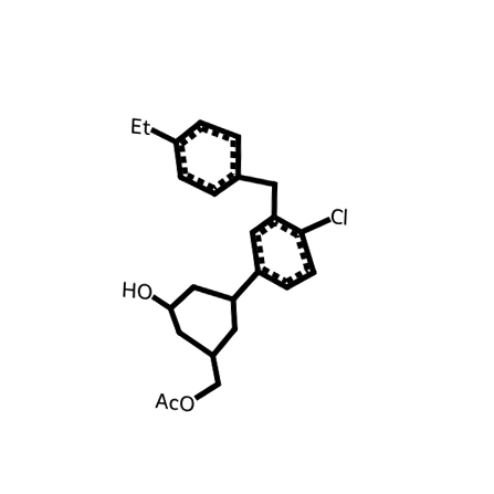 CCc1ccc(Cc2cc(C3CC(O)CC(COC(C)=O)C3)ccc2Cl)cc1